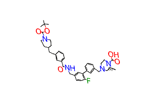 C[C@H]1CN(Cc2cccc(-c3cc(CNC(=O)c4cccc(CC5CCN(C(=O)OC(C)(C)C)CC5)c4)ccc3F)c2)CCN1C(=O)O